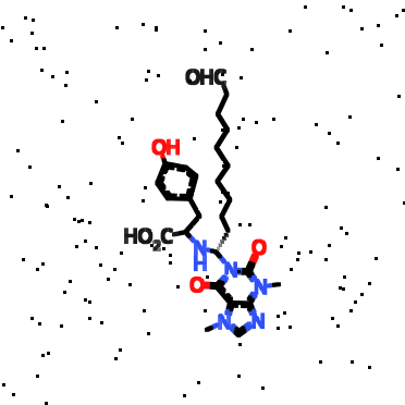 Cn1cnc2c1c(=O)n([C@@H](CCCCCCCCCC=O)NC(Cc1ccc(O)cc1)C(=O)O)c(=O)n2C